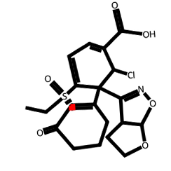 CCS(=O)(=O)C1=CC=C(C(=O)O)C(Cl)C1(C1=CC(=O)CCC1)C1=NOC2OCCC12